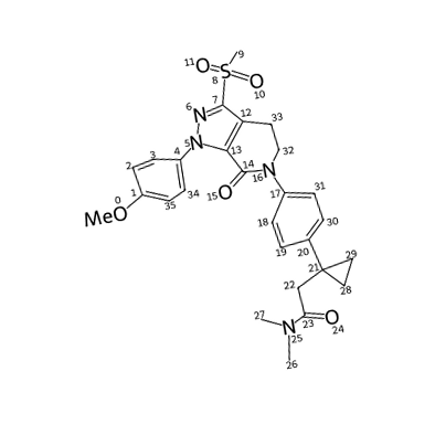 COc1ccc(-n2nc(S(C)(=O)=O)c3c2C(=O)N(c2ccc(C4(CC(=O)N(C)C)CC4)cc2)CC3)cc1